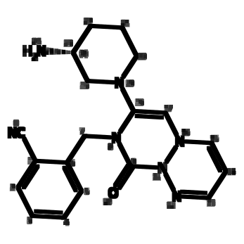 N#Cc1ccccc1CN1C(=O)N2N=CC=CN2C=C1N1CCC[C@@H](N)C1